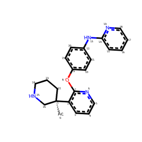 CC(=O)[C@@]1(c2cccnc2Oc2ccc(Nc3ccccn3)cc2)CCCNC1